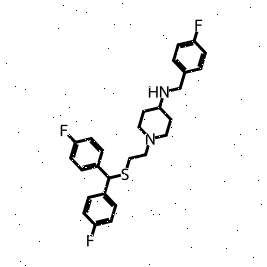 Fc1ccc(CNC2CCN(CCSC(c3ccc(F)cc3)c3ccc(F)cc3)CC2)cc1